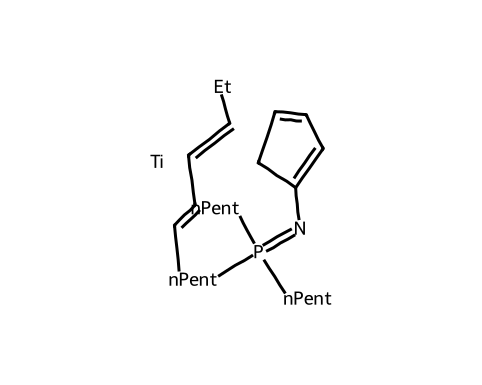 CC=CC=CCC.CCCCCP(CCCCC)(CCCCC)=NC1=CC=CC1.[Ti]